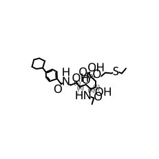 CCSCCCO[C@]1(C(=O)O)C[C@H](O)[C@@H](NC(C)=O)C([C@H](C)[C@H](O)CNC(=O)c2ccc(C3CCCCC3)cc2)O1